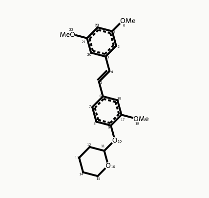 COc1cc(/C=C/c2ccc(OC3CCCCO3)c(OC)c2)cc(OC)c1